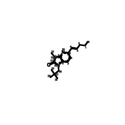 CCC/C=C/c1ccc2c(n1)n(C)c(=O)n2CC(C)(C)C